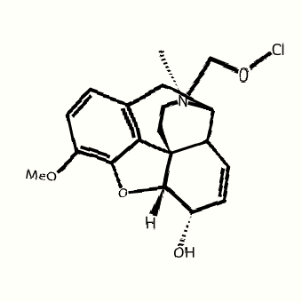 COc1ccc2c3c1O[C@H]1[C@@H](O)C=CC4C(C2)[N@+](C)(COCl)CC[C@@]341